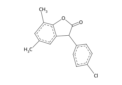 Cc1cc(C)c2c(c1)C(c1ccc(Cl)cc1)C(=O)O2